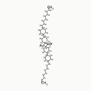 CCCCCCCCCC1CCC(C2CC[C@]3(CC2)C(=O)[C@@]2(CCC(C4CCC(CCCCCCCCC)CC4)CC2)[C@H]3F)CC1